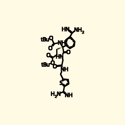 CC(C)(C)OC(=O)CC[C@@](NC(=O)OC(C)(C)C)(C(=O)NCC(=O)NCc1ccc(C(=N)N)s1)c1cccc(C(=N)N)c1